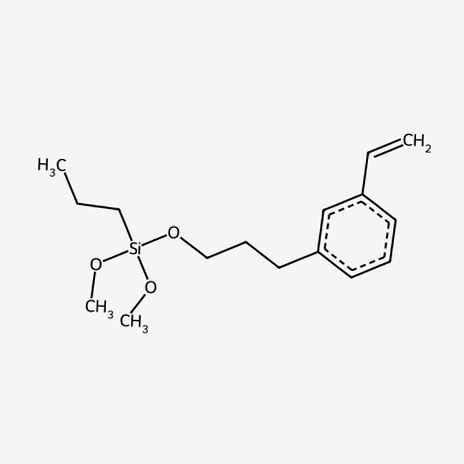 C=Cc1cccc(CCCO[Si](CCC)(OC)OC)c1